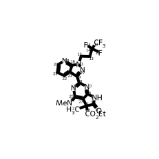 CCOC(=O)C1(C)C(=O)Nc2nc(-c3nn(CCC(F)(F)C(F)(F)F)c4ncccc34)nc(NC)c21